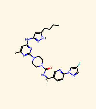 CCCCc1cc(Nc2cc(C)nc(N3CCN(C(=O)N[C@@H](C)c4ccc(-n5cc(F)cn5)nc4)CC3)n2)n[nH]1